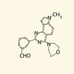 Cn1ccc2c3nc(-c4cccc(C=O)c4)nc(N4CCOCC4)c3ccc21